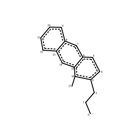 [CH2]CCc1ccc2cc3ccccc3cc2c1C